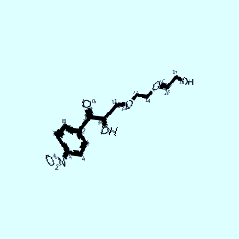 O=C(c1ccc([N+](=O)[O-])cc1)C(O)COCCOCCO